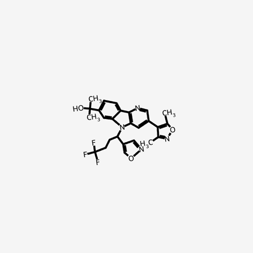 Cc1noc(C)c1-c1cnc2c3ccc(C(C)(C)O)cc3n(C(CCC(F)(F)F)c3cnoc3)c2c1